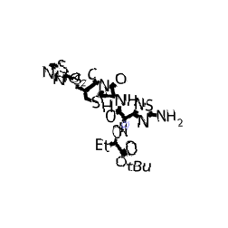 CCC(O/N=C(\C(=O)NC1C(=O)N2C(C(=O)O)=C(CSc3nncs3)CS[C@H]12)c1nsc(N)n1)C(=O)OC(C)(C)C